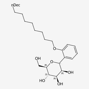 CCCCCCCCCCCCCCCCCCOc1ccccc1[C]1O[C@H](CO)[C@@H](O)[C@H](O)[C@@H]1O